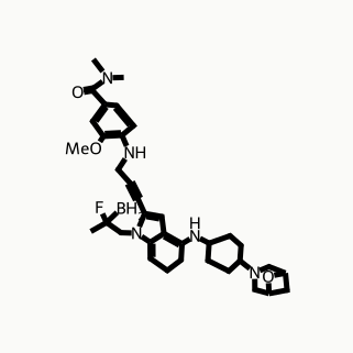 BC(C)(F)Cn1c(C#CCNc2ccc(C(=O)N(C)C)cc2OC)cc2c1=CCCC=2NC1CCC(N2CC3CC(C2)O3)CC1